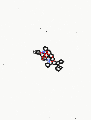 CC(C)(C)c1cc(-c2cccc3c2=C(c2ccccc2N(c2ccccc2-c2ccc4c(c2)C2(c5ccccc5-4)C4CC5CC6CC2C64C5)c2ccccc2-c2ccc4c(c2)c2ccccc2n4-c2ccccc2)CCC=3)cc(C(C)(C)C)c1